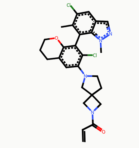 C=CC(=O)N1CC2(CCN(c3cc4c(c(-c5c(C)c(Cl)cc6cnn(C)c56)c3Cl)OCCC4)C2)C1